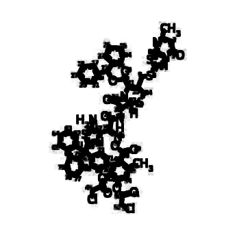 Cc1cc(=O)n2nc(SCC3=C(C(=O)OC(c4ccccc4)c4ccccc4)N4C(=O)[C@@H](NC(=O)C(=NOC(=O)c5cc(OC(=O)CCl)c(OC(=O)CCl)cc5C)c5nc(C(c6ccccc6)(c6ccccc6)c6ccccc6)sc5N)[C@H]4SC3)sc2n1